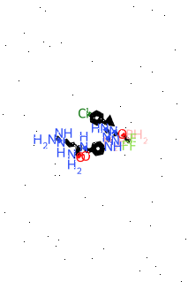 BC(B)(Oc1nc(Nc2ccc(C(=O)N[C@@H](CCCNC(=N)N)C(N)=O)cc2)nc(NC2(c3ccc(Cl)cc3)CC2)n1)C(F)(F)F